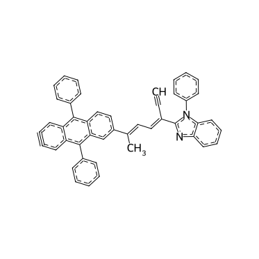 C#C/C(=C\C=C(/C)c1ccc2c(-c3ccccc3)c3cc#ccc3c(-c3ccccc3)c2c1)c1nc2ccccc2n1-c1ccccc1